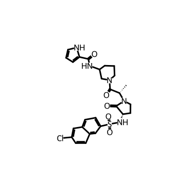 C[C@@H](C(=O)N1CCCC(NC(=O)c2ccc[nH]2)C1)N1CC[C@H](NS(=O)(=O)c2ccc3cc(Cl)ccc3c2)C1=O